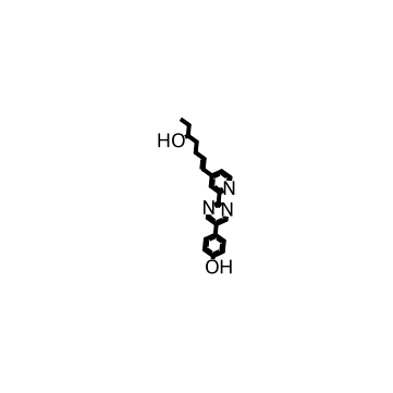 CCC(O)CCC=Cc1ccnc(-c2ncc(-c3ccc(O)cc3)cn2)c1